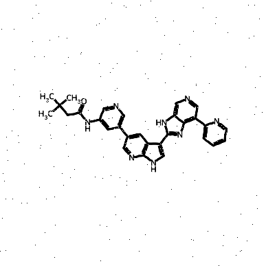 CC(C)(C)CC(=O)Nc1cncc(-c2cnc3[nH]cc(-c4nc5c(-c6ccccn6)cncc5[nH]4)c3c2)c1